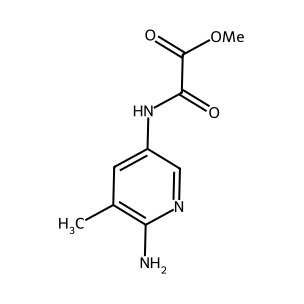 COC(=O)C(=O)Nc1cnc(N)c(C)c1